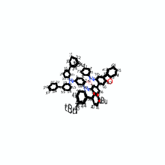 CC(C)(C)c1ccc(N2B3c4ccc(N(c5cccc(-c6ccccc6)c5)c5cccc(-c6ccccc6)c5)cc4N(c4ccc(C(C)(C)C)cc4-c4ccccc4)c4cc(C(C)(C)C)cc(c43)-c3cc4oc5ccccc5c4cc32)cc1